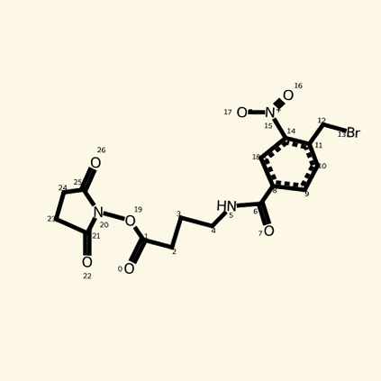 O=C(CCCNC(=O)c1ccc(CBr)c([N+](=O)[O-])c1)ON1C(=O)CCC1=O